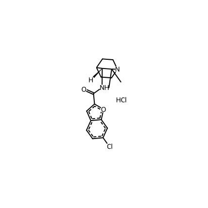 CC1(C)[C@H](NC(=O)c2cc3ccc(Cl)cc3o2)C2CCN1CC2.Cl